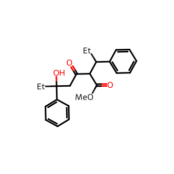 CCC(c1ccccc1)C(C(=O)CC(O)(CC)c1ccccc1)C(=O)OC